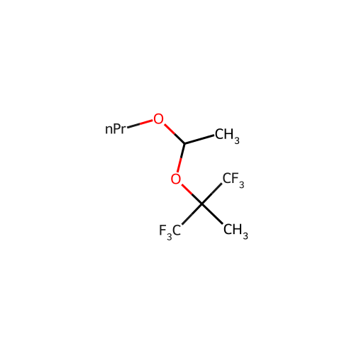 CCCOC(C)OC(C)(C(F)(F)F)C(F)(F)F